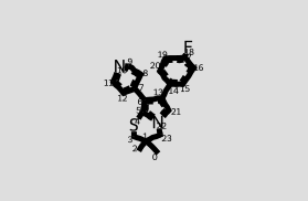 CC1(C)CSc2c(-c3ccncc3)c(-c3ccc(F)cc3)cn2C1